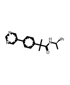 CC(C)[C@@H](C)NC(=O)C(C)(C)c1ccc(-c2cncnc2)cc1